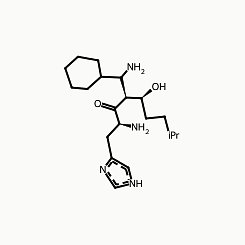 CC(C)CC[C@H](O)[C@@H](C(=O)[C@@H](N)Cc1c[nH]cn1)C(N)C1CCCCC1